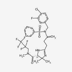 C=C(CCC1=NC(C)(C)[C@H](C(=O)N(C)CC(F)(F)C(F)(F)F)N1)N(Cc1ccc(Cl)c(F)c1)S(=O)(=O)c1ccccc1